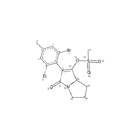 CCc1cc(C)cc(Br)c1C1=C(OS(C)(=O)=O)C2CCCN2C1=O